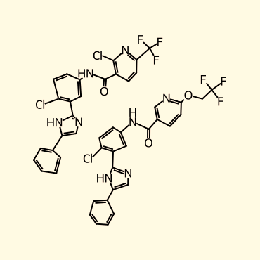 O=C(Nc1ccc(Cl)c(-c2ncc(-c3ccccc3)[nH]2)c1)c1ccc(C(F)(F)F)nc1Cl.O=C(Nc1ccc(Cl)c(-c2ncc(-c3ccccc3)[nH]2)c1)c1ccc(OCC(F)(F)F)nc1